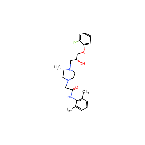 Cc1cccc(C)c1NC(=O)CN1CCN(C[C@H](O)COc2ccccc2F)[C@@H](C)C1